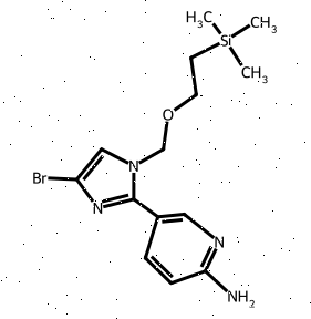 C[Si](C)(C)CCOCn1cc(Br)nc1-c1ccc(N)nc1